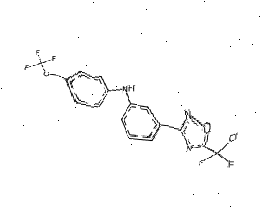 FC(F)(F)Oc1ccc(Nc2cccc(-c3noc(C(F)(F)Cl)n3)c2)cc1